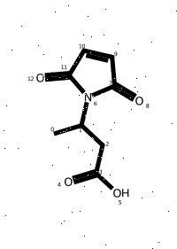 CC(CC(=O)O)N1C(=O)C=CC1=O